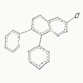 Clc1ccc2c(-c3[c]cccc3)c(-c3ccccc3)ccc2c1